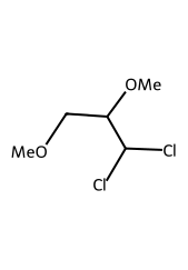 COCC(OC)C(Cl)Cl